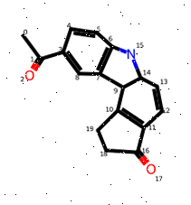 CC(=O)c1ccc2c(c1)C1C3=C(C=CC1[N]2)C(=O)CC3